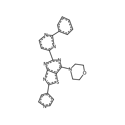 c1ccc(-c2nccc(-c3nc(N4CCOCC4)c4sc(-c5ccncc5)nc4n3)n2)cc1